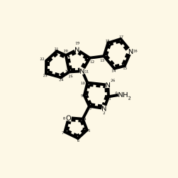 Nc1nc(-c2ccco2)cc(-n2c(-c3ccncc3)nc3ccccc32)n1